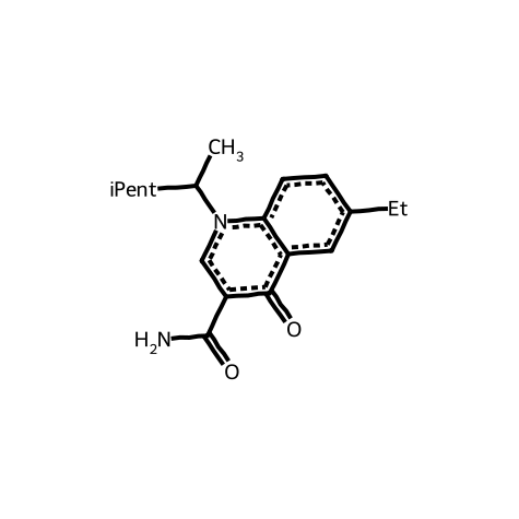 CCCC(C)C(C)n1cc(C(N)=O)c(=O)c2cc(CC)ccc21